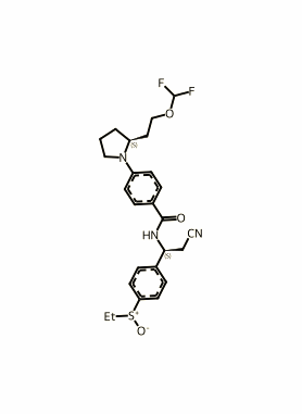 CC[S+]([O-])c1ccc([C@H](CC#N)NC(=O)c2ccc(N3CCC[C@H]3CCOC(F)F)cc2)cc1